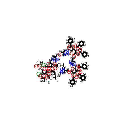 CC(=O)OC[C@H]1O[C@H](O[C@]2(CCl)O[C@H](Cn3cc(COCc4cn(C[C@H]5OC(OCc6cn(C[C@H]7O[C@@H](OCc8cn(C)nn8)[C@H](OC(=O)c8ccccc8)[C@@H](OC(=O)c8ccccc8)[C@@H]7OC(=O)c7ccccc7)nn6)[C@H](OC(=O)c6ccccc6)[C@@H](OC(=O)c6ccccc6)[C@@H]5OC(=O)c5ccccc5)nn4)nn3)[C@@H](OC(C)=O)[C@@H]2OC(C)=O)[C@H](OC(C)=O)[C@@H](OC(C)=O)[C@H]1Cl